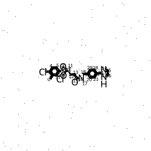 Cc1c(Cl)ccc(S(=O)(=O)N(C)CCC(=O)N(C)Cc2ccc(C3=NCCN3)cc2)c1Cl